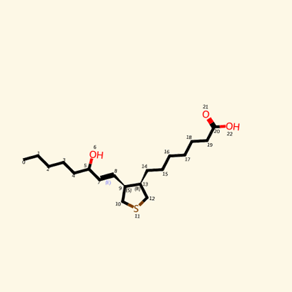 CCCCCC(O)/C=C/[C@@H]1CSC[C@@H]1CCCCCCC(=O)O